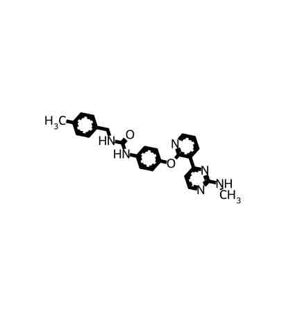 CNc1nccc(-c2cccnc2Oc2ccc(NC(=O)NCc3ccc(C)cc3)cc2)n1